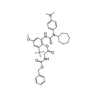 COc1cc(NC(=O)N(c2ccc(N(C)C)cc2)C2CCCCCC2)c(OC(=O)CNC(=O)OCc2ccccc2)c(C(C)(C)C)c1